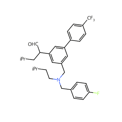 CC(C)CCN(Cc1ccc(F)cc1)Cc1cc(-c2ccc(C(F)(F)F)cc2)cc(C(C=O)CC(C)C)c1